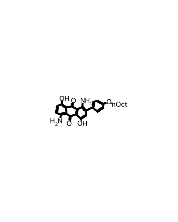 CCCCCCCCOc1ccc(-c2cc(O)c3c(c2N)C(=O)c2c(O)ccc(N)c2C3=O)cc1